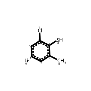 Cc1cccc(Cl)c1S.[Li]